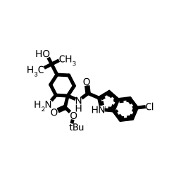 CC(C)(C)OC(=O)C1(NC(=O)c2cc3cc(Cl)ccc3[nH]2)CCC(C(C)(C)O)CC1N